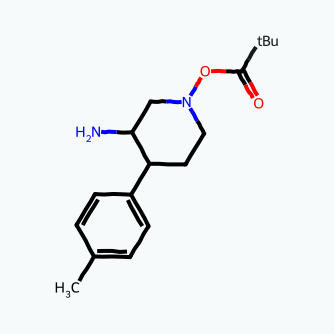 Cc1ccc(C2CCN(OC(=O)C(C)(C)C)CC2N)cc1